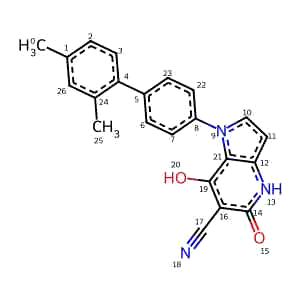 Cc1ccc(-c2ccc(-n3ccc4[nH]c(=O)c(C#N)c(O)c43)cc2)c(C)c1